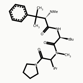 CN[C@H](C(=O)N[C@H](C(=O)N(C)C(C(=O)N1CCCC1)C(C)C)C(C)(C)C)C(C)(C)c1ccccc1